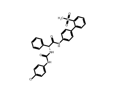 CS(=O)(=O)c1ccccc1-c1ccc(NC(=O)[C@H](NC(=O)Nc2ccc(Cl)cc2)c2ccccc2)cc1